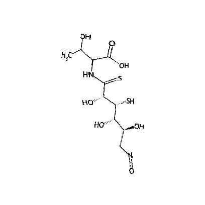 CC(O)C(NC(=S)[C@@H](O)[C@H](S)[C@@H](O)[C@@H](O)CN=O)C(=O)O